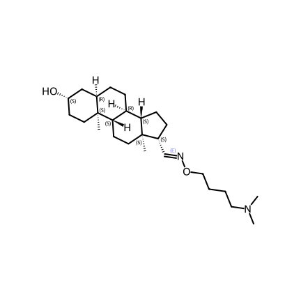 CN(C)CCCCO/N=C/[C@H]1CC[C@H]2[C@@H]3CC[C@@H]4C[C@@H](O)CC[C@]4(C)[C@H]3CC[C@]12C